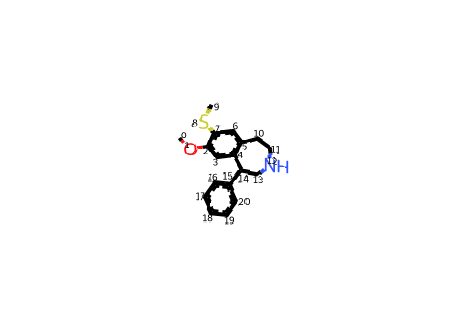 COc1cc2c(cc1SC)CCNCC2c1ccccc1